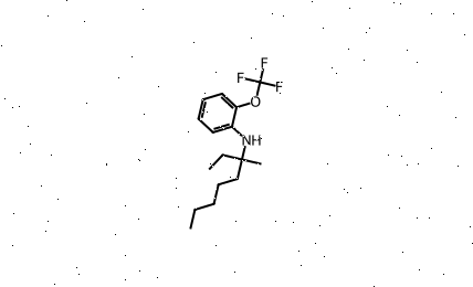 CCCCCC(C)(CC)Nc1ccccc1OC(F)(F)F